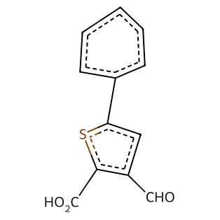 O=Cc1cc(-c2ccccc2)sc1C(=O)O